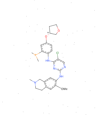 COc1cc2c(cc1Nc1ncc(Cl)c(Nc3ccc(O[C@@H]4CCOC4)cc3P(C)C)n1)CN(C)CC2